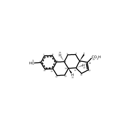 C[C@]12CC[C@@H]3c4ccc(O)cc4CC[C@H]3[C@@H]1CC=C2C(=O)O